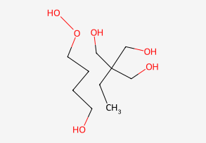 CCC(CO)(CO)CO.OCCCCOO